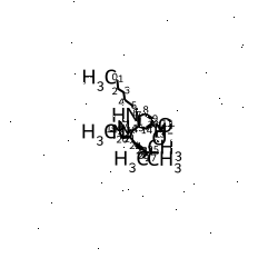 CCCCCCNc1ccc([N+](=O)[O-])cc1-c1nn(C)cc1C#CC(C)(C)C